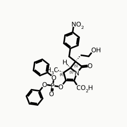 C[C@H]1C(OP(=O)(Oc2ccccc2)Oc2ccccc2)=C(C(=O)O)N2C(=O)[C@](CCO)(Cc3ccc([N+](=O)[O-])cc3)[C@H]12